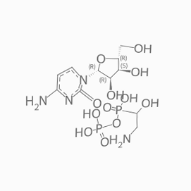 NCC(O)P(=O)(O)OP(=O)(O)O.Nc1ccn([C@@H]2O[C@H](CO)[C@@H](O)[C@H]2O)c(=O)n1